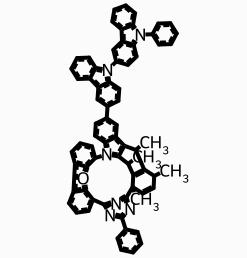 CC1C=CC2(C)C3=C1C(C)c1c(n(c4ccc(-c5ccc6c(c5)c5ccccc5n6-c5ccc6c(c5)c5ccccc5n6-c5ccccc5)cc14)-c1cccc4c1oc1c(cccc14)-c1nc(-c4ccccc4)nc2n1)C3C